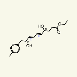 CCOC(=O)CC[C@H](O)/C=C/C=C/[C@H](O)Cc1ccc(C)cc1